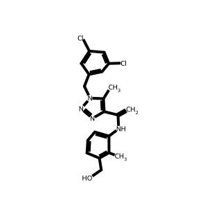 C=C(Nc1cccc(CO)c1C)c1nnn(Cc2cc(Cl)cc(Cl)c2)c1C